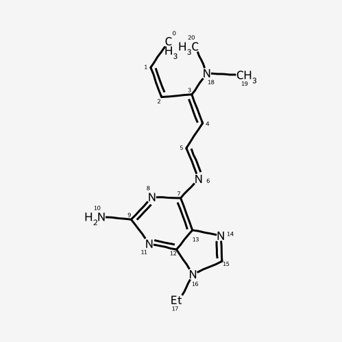 C\C=C/C(=C\C=N\c1nc(N)nc2c1ncn2CC)N(C)C